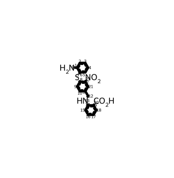 Nc1ccccc1Sc1ccc(CNc2ccccc2C(=O)O)cc1[N+](=O)[O-]